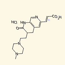 CN1CCN(CCC2Cc3cc(/C=C/C(=O)O)ncc3NC2=O)CC1.Cl